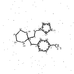 FC(F)(F)c1ccc(CC2(CCn3ccnc3)SCCCS2)cc1